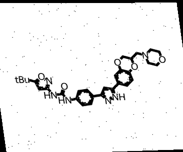 CC(C)(C)c1cc(NC(=O)Nc2ccc(-c3cc(-c4ccc5c(c4)OCC(CN4CCOCC4)O5)[nH]n3)cc2)no1